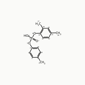 Cc1ccc(OP(=O)(O)Oc2ccc(C)cc2C)cc1